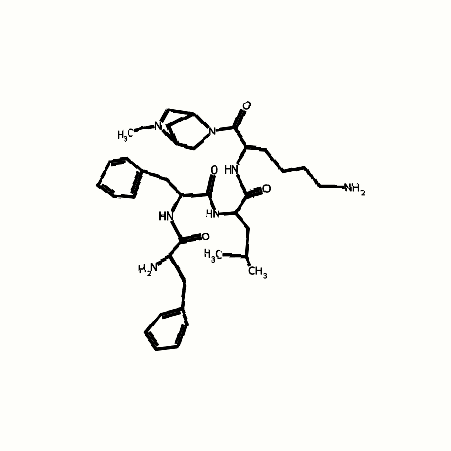 CC(C)CC(NC(=O)C(Cc1ccccc1)NC(=O)C(N)Cc1ccccc1)C(=O)NC(CCCCN)C(=O)N1CC2CC1CN2C